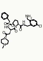 CN1CCN(C(=O)C[C@@H](NS(=O)(=O)Cc2ccccc2)C(=O)N2CCC[C@H]2C(=O)NCc2cc(Cl)ccc2CN)CC1